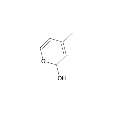 CC1=[C]C(O)OC=C1